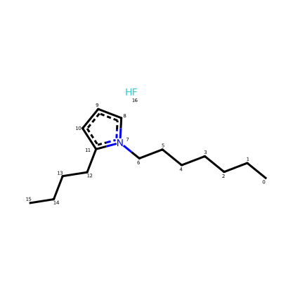 CCCCCCCn1cccc1CCCC.F